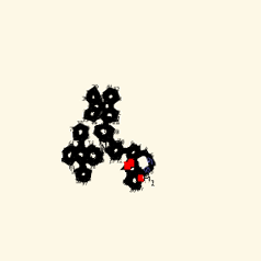 C=C1/C=C\C=C/Cc2ccc(-c3ccc4c(c3)c3cc(-c5ccc6c(c5)C5(c7ccccc7-c7ccccc75)c5ccccc5-6)ccc3n4-c3ccc4c(-c5ccccc5)c5ccccc5c(-c5ccccc5)c4c3)cc2C12c1ccccc1-c1ccccc12